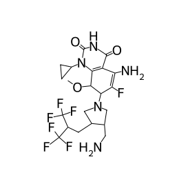 COC1c2c(c(=O)[nH]c(=O)n2C2CC2)C(N)=C(F)C1N1CC(CN)C(CC(C(F)(F)F)C(F)(F)F)C1